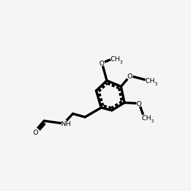 COc1cc(CCNC=O)cc(OC)c1OC